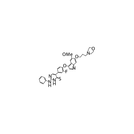 COc1cc2c(Oc3ccc(-c4cnc(Nc5ccccc5)[nH]c4=S)cc3F)ccnc2cc1OCCCN1CCOCC1